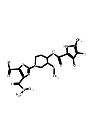 COC1CN(c2nc(C(=O)N(C)C)c(C(=O)O)s2)CCC1NC(=O)c1[nH]c(C)c(Cl)c1Cl